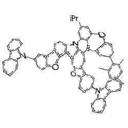 Cc1cc(C)c(-c2ccc3c(c2)B2c4c(cc(C(C)C)cc4-n4c5ccc6c7cc(-n8c9ccccc9c9ccccc98)ccc7oc6c5c5c6oc7ccc(-n8c9ccccc9c9ccccc98)cc7c6cc2c54)O3)c(C)c1